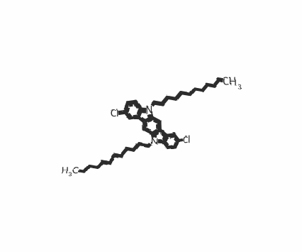 CCCCCCCCCCCCn1c2ccc(Cl)cc2c2cc3c(cc21)c1cc(Cl)ccc1n3CCCCCCCCCCCC